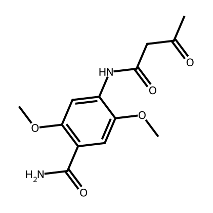 COc1cc(C(N)=O)c(OC)cc1NC(=O)CC(C)=O